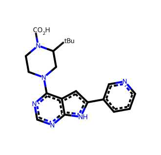 CC(C)(C)C1CN(c2ncnc3[nH]c(-c4cccnc4)cc23)CCN1C(=O)O